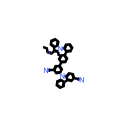 CC/C=C\c1c(C)n(-c2ccccc2-c2ccc(-c3cc(C#N)cc(-n4c5ccccc5c5cc(C#N)ccc54)c3)cc2)c2ccccc12